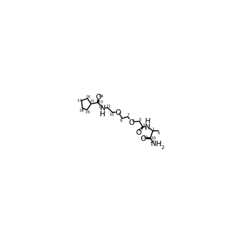 CC(NC(=O)COCCOCCNC(=O)C1CCCC1)C(N)=O